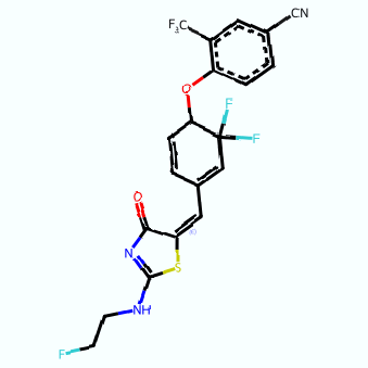 N#Cc1ccc(OC2C=CC(/C=C3/SC(NCCF)=NC3=O)=CC2(F)F)c(C(F)(F)F)c1